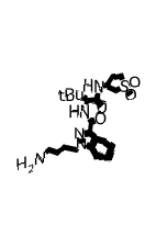 CC(C)(C)C(NC(=O)c1nn(CCCCN)c2ccccc12)C(=O)NC1CCS(=O)(=O)C1